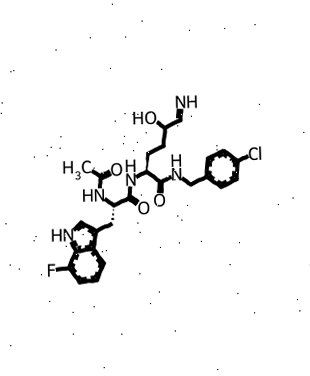 CC(=O)N[C@@H](Cc1c[nH]c2c(F)cccc12)C(=O)N[C@@H](CCC(O)C=N)C(=O)NCc1ccc(Cl)cc1